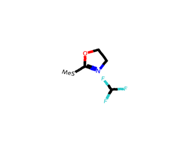 CSC1=NCCO1.FC(F)F